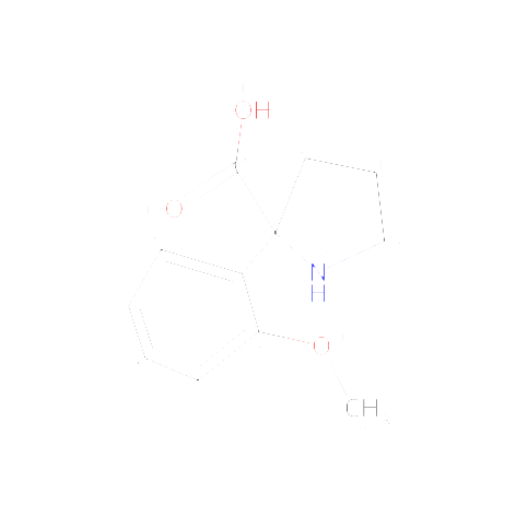 COc1ccccc1C1(C(=O)O)CCCN1